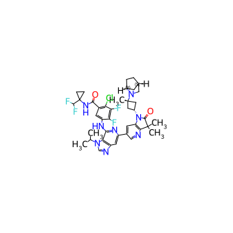 CC(C)n1cnc2cc(-c3cnc4c(c3)N([C@H]3C[C@@](C)(N5C[C@H]6CC[C@@H]5C6)C3)C(=O)C4(C)C)nc(Nc3cc(C(=O)NC4(C(F)F)CC4)c(Cl)c(F)c3F)c21